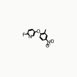 Cc1cc([N+](=O)[O-])ccc1Oc1ccc(F)nc1